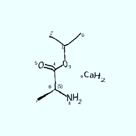 CC(C)OC(=O)[C@H](C)N.[CaH2]